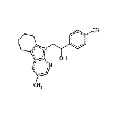 Cc1cnc2c(c1)c1c(n2CC(O)c2ccc(C#N)cc2)CCCC1